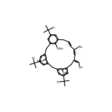 CCC(C)(C)c1cc2c(OC)c(c1)Cc1cc(C(C)(C)CC)cc(c1OC)Cc1cc(C(C)(C)CC)cc(c1OC)CC(=C\O)/C=C(C(C)(C)C)\C=C\C2